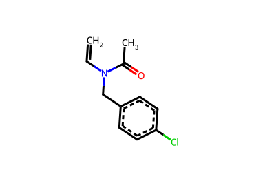 C=CN(Cc1ccc(Cl)cc1)C(C)=O